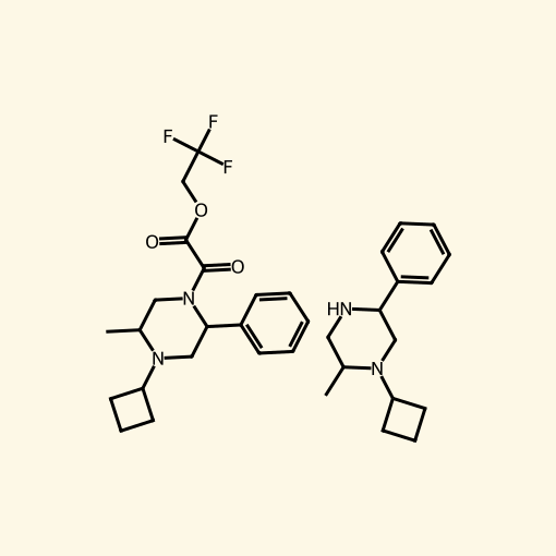 CC1CN(C(=O)C(=O)OCC(F)(F)F)C(c2ccccc2)CN1C1CCC1.CC1CNC(c2ccccc2)CN1C1CCC1